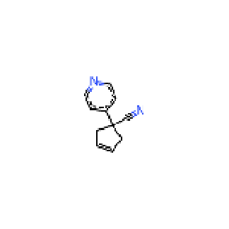 N#CC1(c2ccncc2)CC=CC1